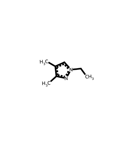 CCn1cc(C)c(C)n1